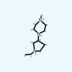 CCN1CCC(N2CCN(C)CC2)C1